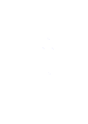 C1=c2ccccc2=C2Oc3c(N(c4ccccc4)c4ccc5ccccc5c4)ccc(C4NC(c5ccccc5)=NC(c5ccccc5)N4)c3C2C1